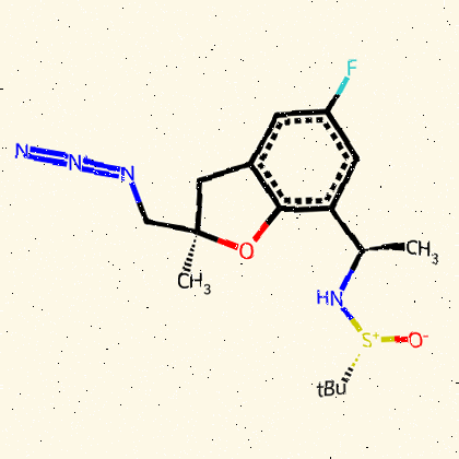 C[C@@H](N[S@+]([O-])C(C)(C)C)c1cc(F)cc2c1O[C@@](C)(CN=[N+]=[N-])C2